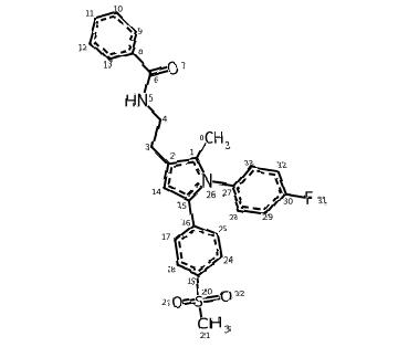 Cc1c(CCNC(=O)c2ccccc2)cc(-c2ccc(S(C)(=O)=O)cc2)n1-c1ccc(F)cc1